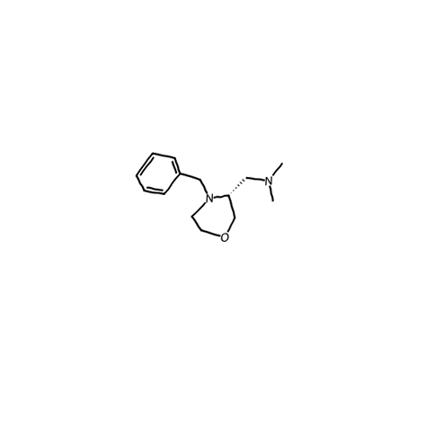 CN(C)C[C@@H]1COCCN1Cc1ccccc1